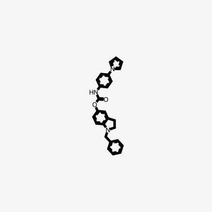 O=C(Nc1ccc(-n2cccc2)cc1)Oc1ccc2c(c1)CCN2Cc1ccccc1